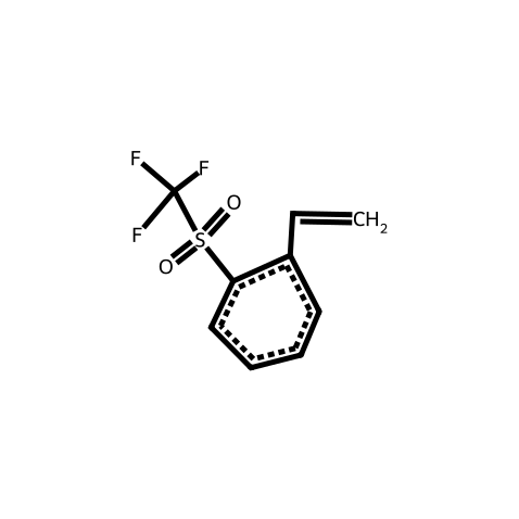 C=Cc1ccccc1S(=O)(=O)C(F)(F)F